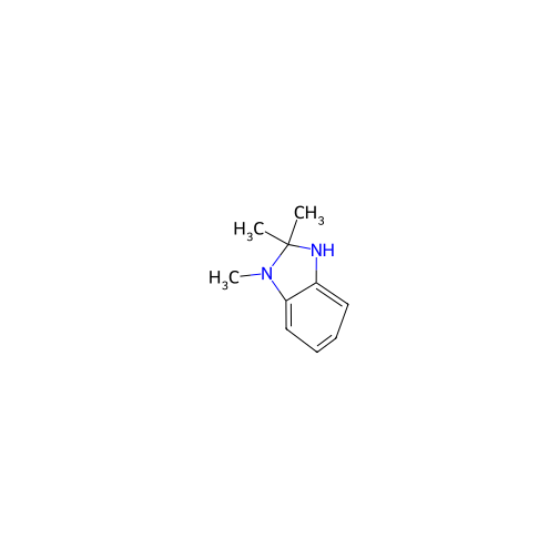 CN1c2ccccc2NC1(C)C